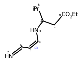 CCOC(=O)CC(N/C=C\C=N)C(C)C